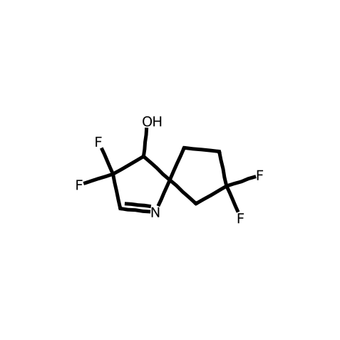 OC1C(F)(F)C=NC12CCC(F)(F)C2